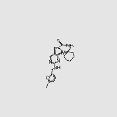 Cc1ccc(CNc2ncc3cc4n(c3n2)C2(CCCCC2)CNC4=S)o1